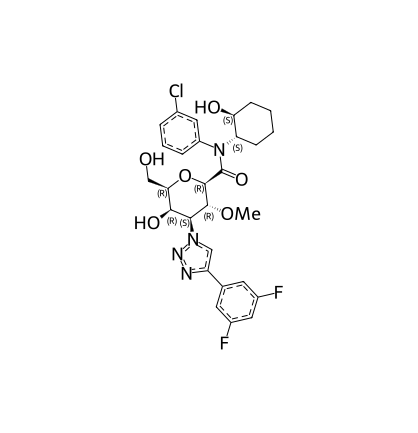 CO[C@@H]1[C@@H](n2cc(-c3cc(F)cc(F)c3)nn2)[C@@H](O)[C@@H](CO)O[C@H]1C(=O)N(c1cccc(Cl)c1)[C@H]1CCCC[C@@H]1O